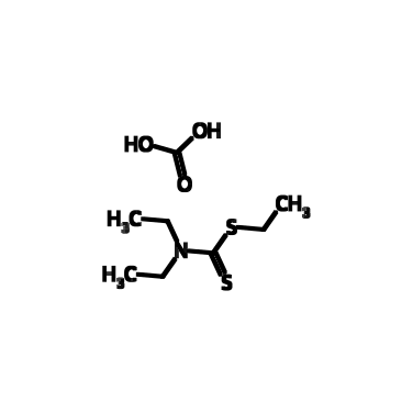 CCSC(=S)N(CC)CC.O=C(O)O